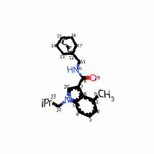 Cc1cccc2c1c(C(=O)NCC13CCC(CC1)CC3)cn2CC(C)C